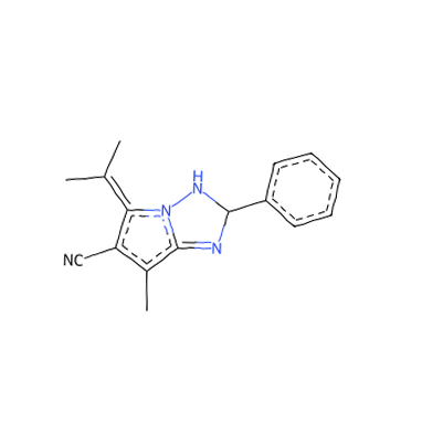 CC(C)=c1c(C#N)c(C)c2n1NC(c1ccccc1)N=2